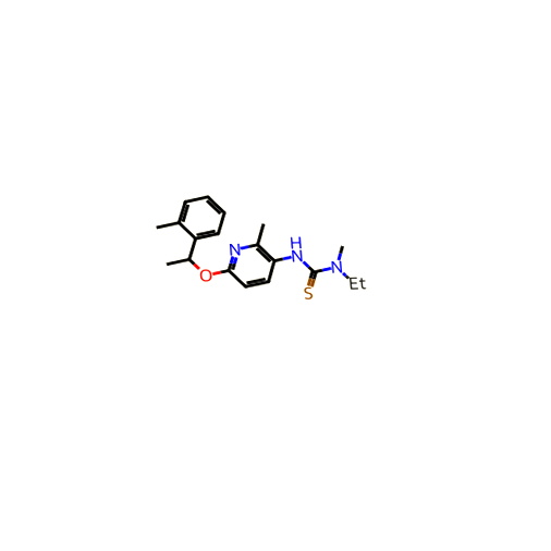 CCN(C)C(=S)Nc1ccc(OC(C)c2ccccc2C)nc1C